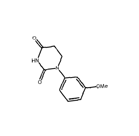 COc1cccc(N2CCC(=O)NC2=O)c1